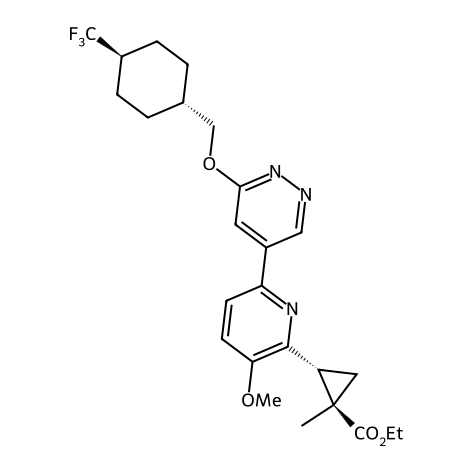 CCOC(=O)[C@]1(C)C[C@H]1c1nc(-c2cnnc(OC[C@H]3CC[C@H](C(F)(F)F)CC3)c2)ccc1OC